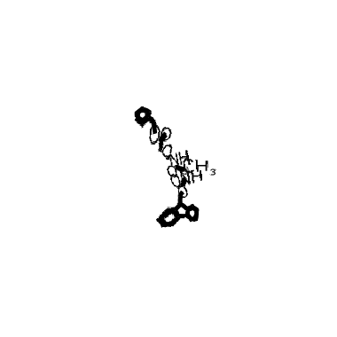 C[C@H](NC(=O)OCC1c2ccccc2-c2ccccc21)C(=O)NCOCC(=O)OCc1ccccc1